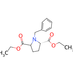 CCOC(=O)C1CC[C@@H](C(=O)OCC)N1Cc1ccccc1